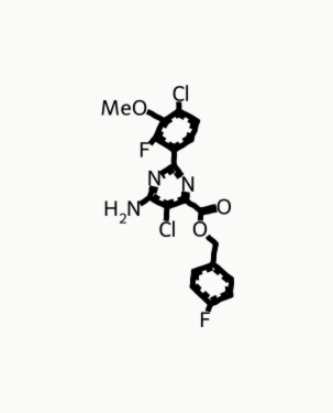 COc1c(Cl)ccc(-c2nc(N)c(Cl)c(C(=O)OCc3ccc(F)cc3)n2)c1F